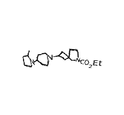 CCOC(=O)N1CCC2(CC(N3CCC(N4CCCC4C)CC3)C2)C1